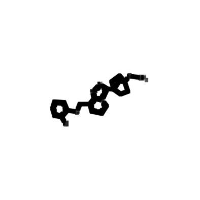 COC12CCC(c3nnc4c(COc5ccccc5Cl)cccn34)(CC1)C2